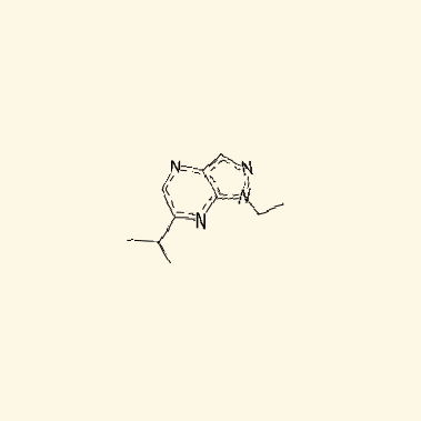 CCn1ncc2ncc(C(C)C)nc21